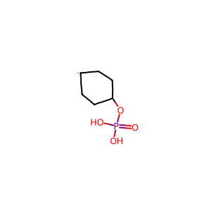 O=P(O)(O)OC1CC[CH]CC1